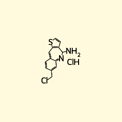 Cl.NC1N=c2cc(CCl)ccc2=Cc2sccc21